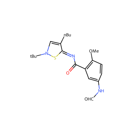 CCCCc1cn(C(C)(C)C)sc1=NC(=O)c1cc(NC=O)ccc1OC